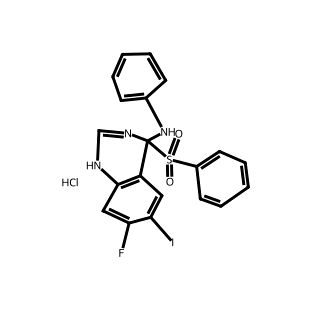 Cl.O=S(=O)(c1ccccc1)C1(Nc2ccccc2)N=CNc2cc(F)c(I)cc21